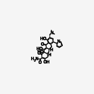 CN(C)Cc1cc(-c2ccccn2)c2c(c1O)C(=O)C1=C(O)[C@]3(O)C(=O)C(C(N)=O)=C(O)C[C@@H]3C[C@@H]1C2